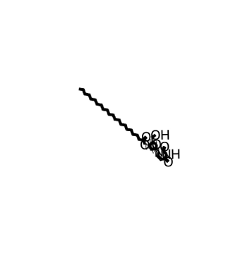 CCCCCCCCCCCCCCCCCCCCCC(=O)O[C@H]1C[C@H](n2ccc(=O)[nH]c2=O)O[C@@H]1CO